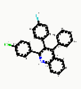 Fc1ccc(-c2c(-c3ccc(Cl)cc3)nc3ccccc3c2-c2ccccc2)cc1